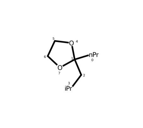 CCCC1(CC(C)C)OCCO1